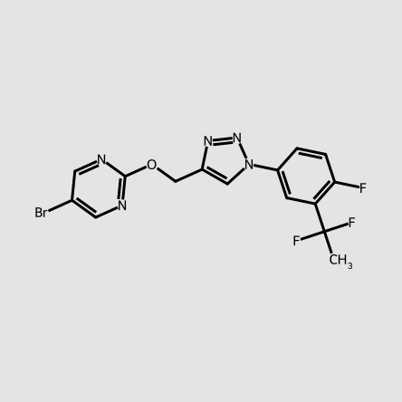 CC(F)(F)c1cc(-n2cc(COc3ncc(Br)cn3)nn2)ccc1F